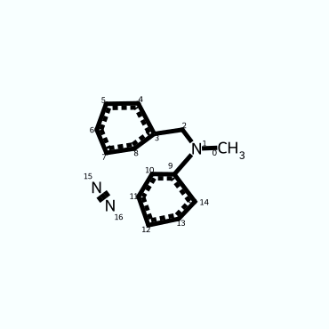 CN(Cc1ccccc1)c1ccccc1.N#N